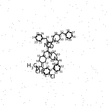 CN(C)C(c1ccc(Cl)cc1)C1CCC(CC(c2nc(Cc3ccccc3)c(N3CCC(Cc4ccccc4)CC3)o2)N2CCN(Cc3ccccc3)CC2)CC1